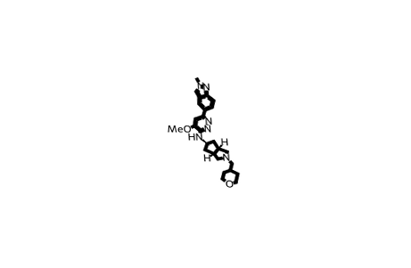 COc1cc(-c2ccc3nn(C)cc3c2)nnc1N[C@H]1C[C@@H]2CN(CC3CCOCC3)C[C@@H]2C1